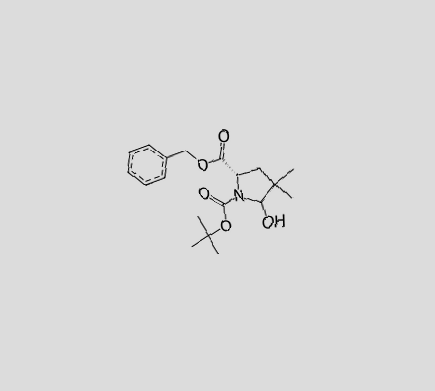 CC(C)(C)OC(=O)N1C(O)C(C)(C)C[C@H]1C(=O)OCc1ccccc1